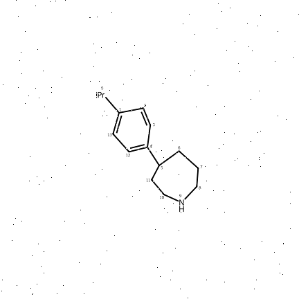 CC(C)c1ccc(C2CCCNCC2)cc1